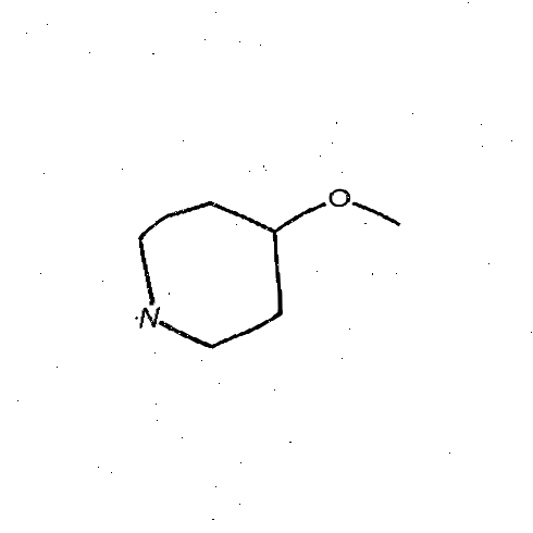 COC1CC[N]CC1